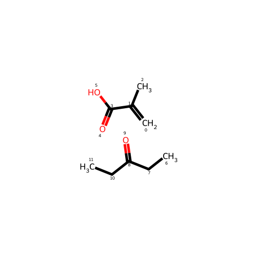 C=C(C)C(=O)O.CCC(=O)CC